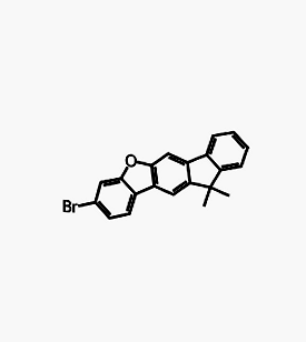 CC1(C)c2ccccc2-c2cc3oc4cc(Br)ccc4c3cc21